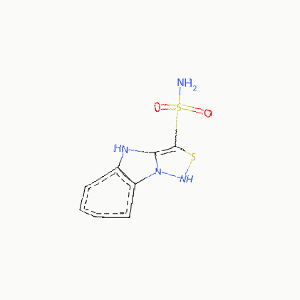 NS(=O)(=O)C1=C2Nc3ccccc3N2NS1